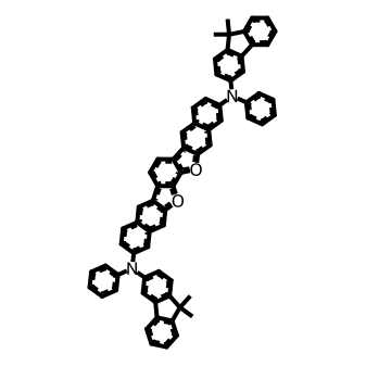 CC1(C)c2ccccc2-c2cc(N(c3ccccc3)c3ccc4cc5c(cc4c3)oc3c5ccc4c5cc6ccc(N(c7ccccc7)c7ccc8c(c7)-c7ccccc7C8(C)C)cc6cc5oc43)ccc21